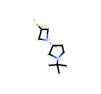 CC(C)(C)N1CC[C@@H](N2CC(F)C2)C1